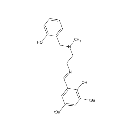 CN(CCN=Cc1cc(C(C)(C)C)cc(C(C)(C)C)c1O)Cc1ccccc1O